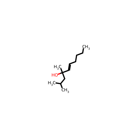 CCCCC=CC(C)(O)CC(C)C